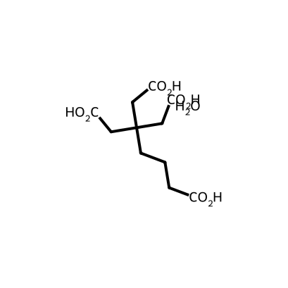 O.O=C(O)CCCC(CC(=O)O)(CC(=O)O)CC(=O)O